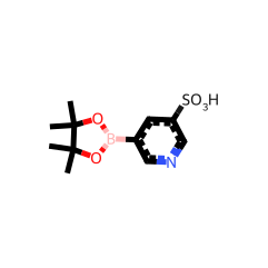 CC1(C)OB(c2cncc(S(=O)(=O)O)c2)OC1(C)C